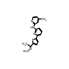 CC(=O)O/N=C(\C)c1ccc(-c2cccc(Nc3cc(C)ccn3)n2)s1